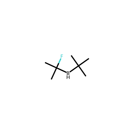 CC(C)(C)BC(C)(C)F